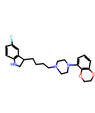 Fc1ccc2c(c1)C(CCCCN1CCN(c3cccc4c3OCCO4)CC1)CN2